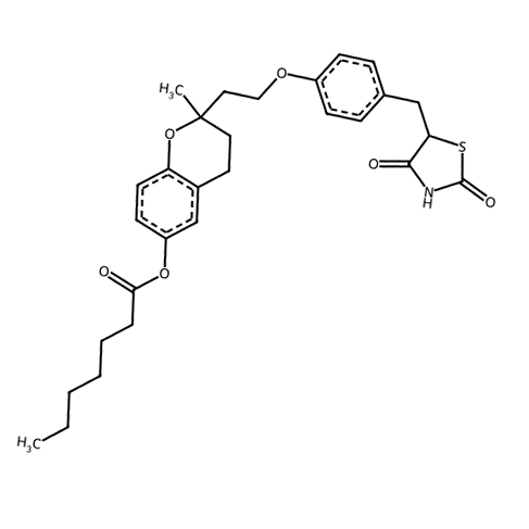 CCCCCCC(=O)Oc1ccc2c(c1)CCC(C)(CCOc1ccc(CC3SC(=O)NC3=O)cc1)O2